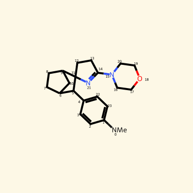 CNc1ccc(C2C3CCC(C3)C23CCC(N2CCOCC2)=N3)cc1